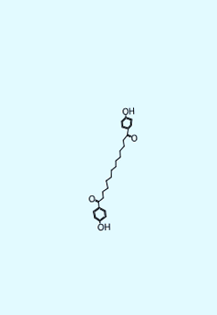 O=C(CCCCCCCCCCCCC(=O)c1ccc(O)cc1)c1ccc(O)cc1